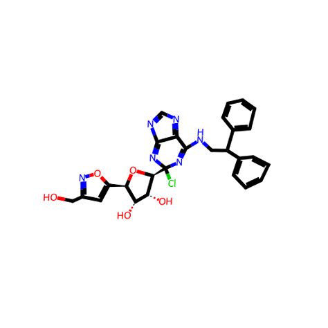 OCc1cc([C@H]2O[C@@H](C3(Cl)N=C4N=CN=C4C(NCC(c4ccccc4)c4ccccc4)=N3)[C@H](O)[C@@H]2O)on1